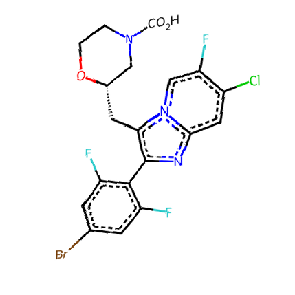 O=C(O)N1CCO[C@@H](Cc2c(-c3c(F)cc(Br)cc3F)nc3cc(Cl)c(F)cn23)C1